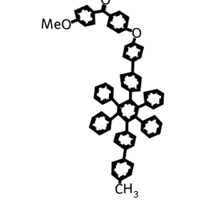 COc1ccc(C(=O)c2ccc(Oc3ccc(-c4ccc(-c5c(-c6ccccc6)c(-c6ccccc6)c(-c6ccc(-c7ccc(C)cc7)cc6)c(-c6ccccc6)c5-c5ccccc5)cc4)cc3)cc2)cc1